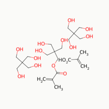 C=C(C)C(=O)O.C=C(C)C(=O)OCC(CO)(CO)CO.OCC(CO)(CO)CO.OCC(CO)(CO)CO